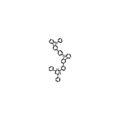 c1ccc(-c2cc(-c3ccccc3)nc(-c3cccc(-c4ccc5c(c4)c4ccccc4n5-c4ccc(-c5ccc6c7ccccc7n(-c7ccccc7)c6c5)cc4)c3)n2)cc1